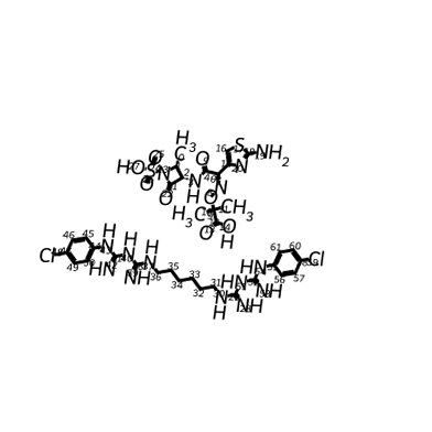 C[C@H]1[C@H](NC(=O)/C(=N\OC(C)(C)C(=O)O)c2csc(N)n2)C(=O)N1S(=O)(=O)O.N=C(NCCCCCCNC(=N)NC(=N)Nc1ccc(Cl)cc1)NC(=N)Nc1ccc(Cl)cc1